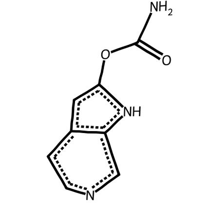 NC(=O)Oc1cc2ccncc2[nH]1